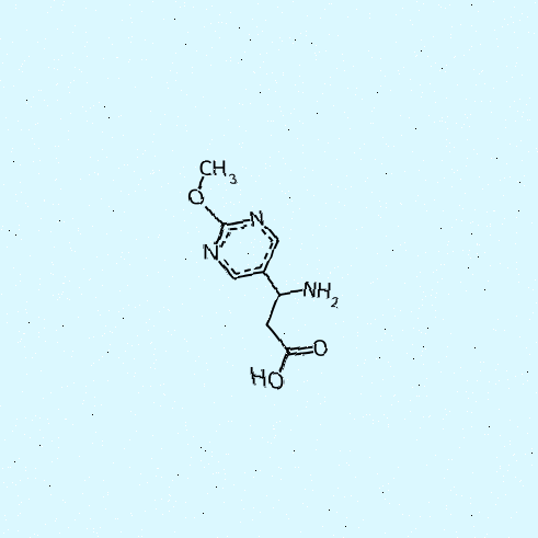 COc1ncc(C(N)CC(=O)O)cn1